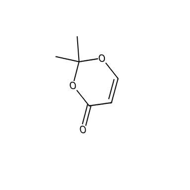 CC1(C)OC=CC(=O)O1